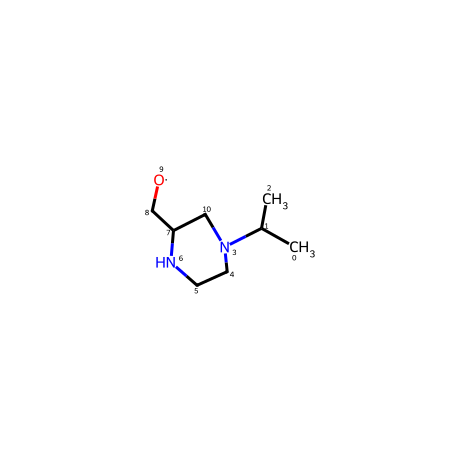 CC(C)N1CCNC(C[O])C1